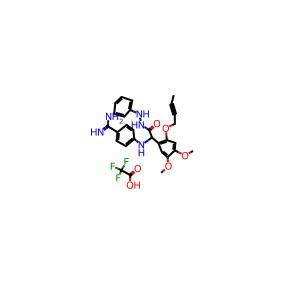 CC#CCOc1cc(OC)c(OC)cc1C(Nc1ccc(C(=N)N)cc1)C(=O)NNc1ccccc1.O=C(O)C(F)(F)F